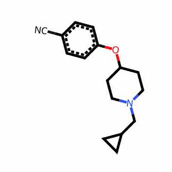 N#Cc1ccc(OC2CCN(CC3CC3)CC2)cc1